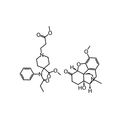 CCC(=O)N(c1ccccc1)C1(C(=O)OC)CCN(CCC(=O)OC)CC1.COc1ccc2c3c1O[C@H]1C(=O)CC[C@@]4(O)[C@@H](C2)N(C)CC[C@]314